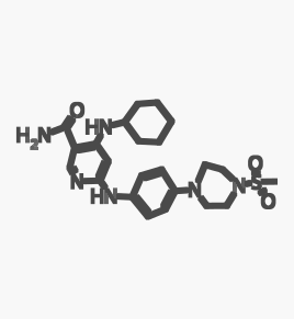 CS(=O)(=O)N1CCN(c2ccc(Nc3cc(NC4CCCCC4)c(C(N)=O)cn3)cc2)CC1